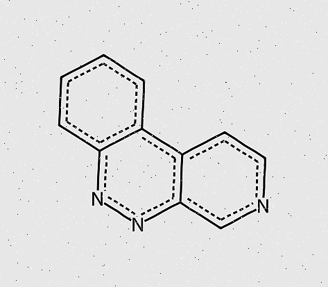 c1ccc2c(c1)nnc1cnccc12